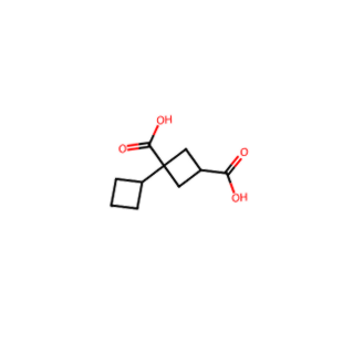 O=C(O)C1CC(C(=O)O)(C2CCC2)C1